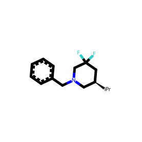 CC(C)[C@H]1CN(Cc2ccccc2)CC(F)(F)C1